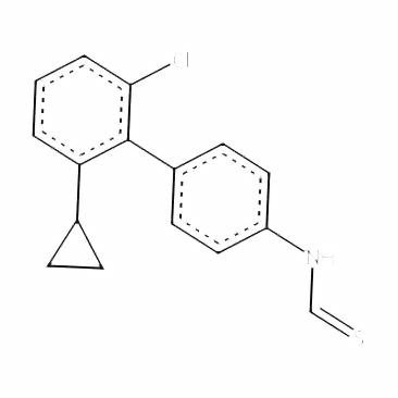 S=CNc1ccc(-c2c(Cl)cccc2C2CC2)cc1